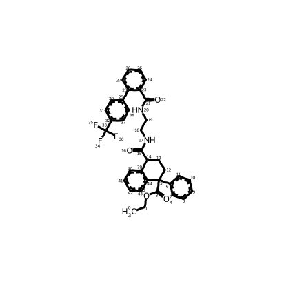 CCOC(=O)C1(c2ccccc2)CCC(C(=O)NCCNC(=O)c2ccccc2-c2ccc(C(F)(F)F)cc2)c2ccccc21